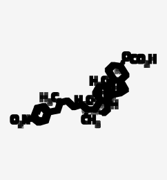 CC(CCC[C@@H](C)[C@H]1CC[C@H]2[C@@H]3CC=C4C[C@@H](OC(=O)O)CC[C@]4(C)[C@H]3CC[C@]12C)Cc1ccc([N+](=O)[O-])cc1